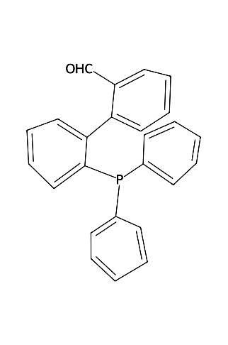 O=Cc1ccccc1-c1ccccc1P(c1ccccc1)c1ccccc1